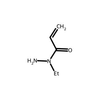 C=CC(=O)N(N)CC